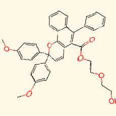 COc1ccc(C2(c3ccc(OC)cc3)C=Cc3c(C(=O)OCCOCCO)c(-c4ccccc4)c4ccccc4c3O2)cc1